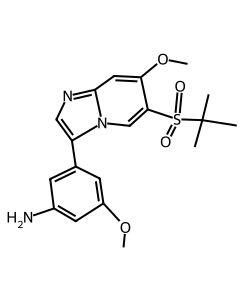 COc1cc(N)cc(-c2cnc3cc(OC)c(S(=O)(=O)C(C)(C)C)cn23)c1